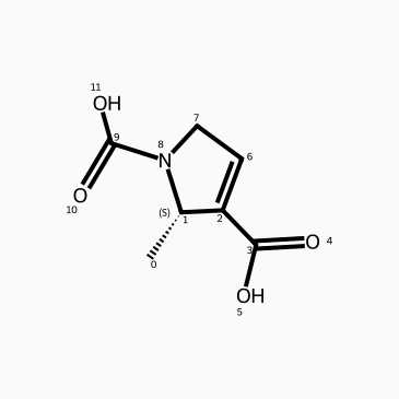 C[C@H]1C(C(=O)O)=CCN1C(=O)O